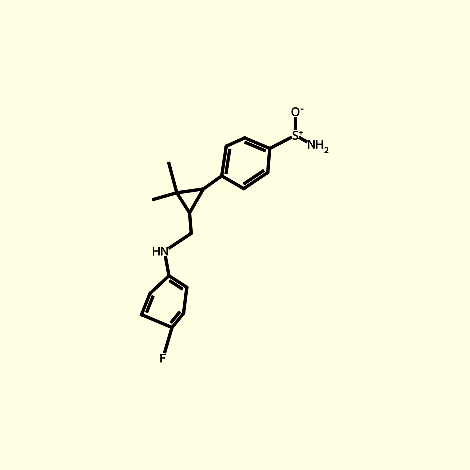 CC1(C)C(CNc2ccc(F)cc2)C1c1ccc([S+](N)[O-])cc1